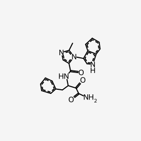 Cc1ncc(C(=O)NC(Cc2ccccc2)C(=O)C(N)=O)n1-c1c[nH]c2ccccc12